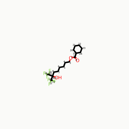 O=C(OCCCCCCC(O)(C(F)(F)F)C(F)(F)F)C1CCCCC1